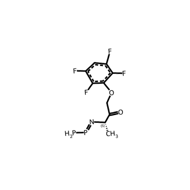 C[C@H](N=PP)C(=O)COc1c(F)c(F)cc(F)c1F